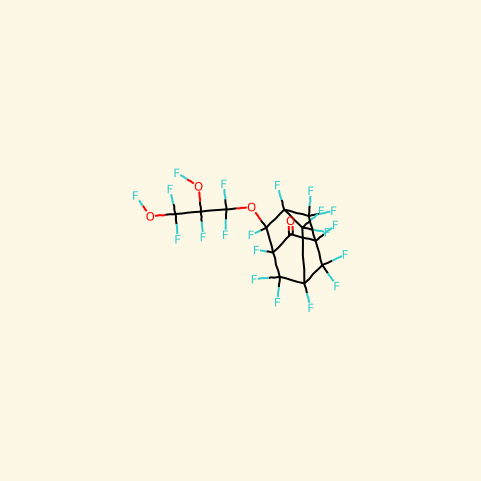 O=C1C2(F)C(F)(F)C3(F)C(F)(F)C1(F)C(F)(OC(F)(F)C(F)(OF)C(F)(F)OF)C(F)(C2(F)F)C3(F)F